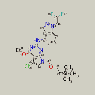 CCOc1nc(Nc2cccc3c2cnn3CC(F)F)nc2c1c(Cl)cn2COCC[Si](C)(C)C